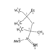 CCC(C)(C)CC(C)(C)C(=N)SC